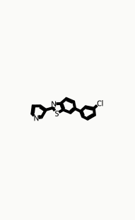 Clc1cccc(-c2ccc3nc(-c4cccnc4)sc3c2)c1